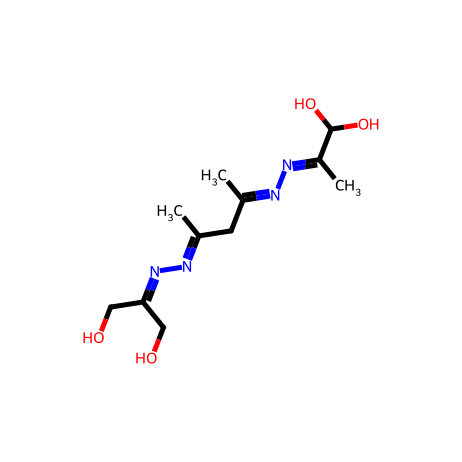 C/C(C/C(C)=N/N=C(\C)C(O)O)=N\N=C(CO)CO